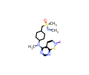 CN=S(C)(=O)CC1CCC(N(C)c2ncnc3c2C=CN(I)S3)CC1